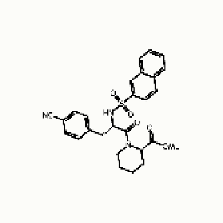 COC(=O)[C@H]1CCCCN1C(=O)[C@H](Cc1ccc(C#N)cc1)NS(=O)(=O)c1ccc2ccccc2c1